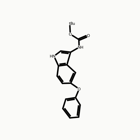 CC(C)(C)OC(=O)Nc1c[nH]c2ccc(Oc3ccccc3)cc12